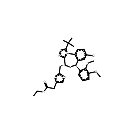 CCOC(=O)Cc1cnc(C[C@H]2S[C@H](c3cccc(OC)c3OC)c3cc(Cl)ccc3-n3c2nnc3C(C)(C)C)s1